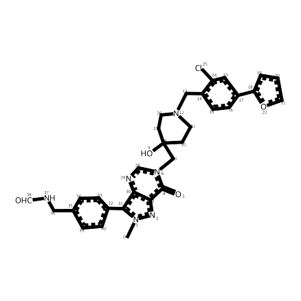 Cn1nc2c(=O)n(CC3(O)CCN(Cc4ccc(-c5ccco5)cc4Cl)CC3)cnc2c1-c1ccc(CNC=O)cc1